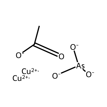 CC(=O)[O-].[Cu+2].[Cu+2].[O-][As]([O-])[O-]